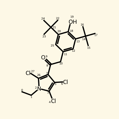 CCn1c(Cl)c(Cl)c(C(=O)Cc2cc(C(C)(C)C)c(O)c(C(C)(C)C)c2)c1Cl